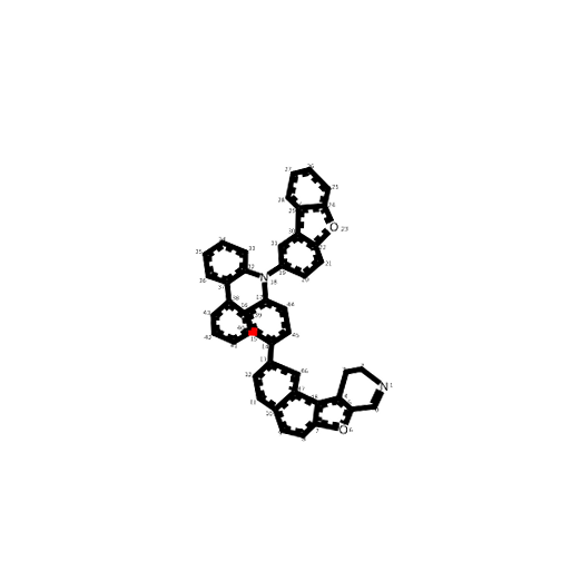 C1=NCCc2c1oc1ccc3ccc(-c4ccc(N(c5ccc6oc7ccccc7c6c5)c5ccccc5-c5ccccc5)cc4)cc3c21